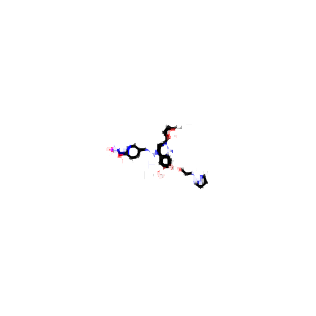 COc1cc2c(NCC3CCC(C(=O)NO)CC3)cc(-c3ccc(C)o3)nc2cc1OCCCN1CCCC1